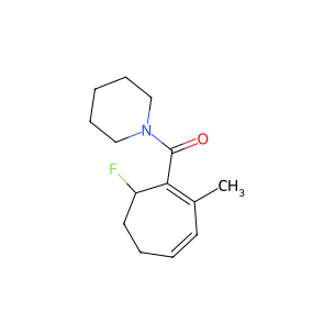 CC1=C(C(=O)N2CCCCC2)C(F)CCC=C1